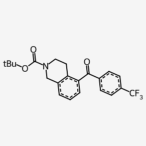 CC(C)(C)OC(=O)N1CCc2c(cccc2C(=O)c2ccc(C(F)(F)F)cc2)C1